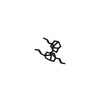 CC=CC12CC3CC(C1)CC(C14CC5CC(C=CC)(CC(C=CC)(C5)C1)C4)(C3)C2